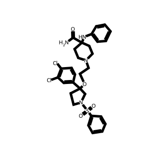 NC(=O)C1(Nc2ccccc2)CCN(CCOC2(c3ccc(Cl)c(Cl)c3)CCN(S(=O)(=O)c3ccccc3)C2)CC1